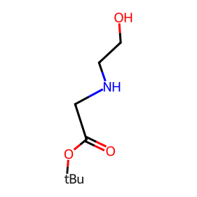 CC(C)(C)OC(=O)CNCCO